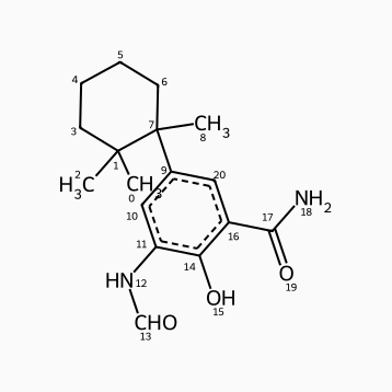 CC1(C)CCCCC1(C)c1cc(NC=O)c(O)c(C(N)=O)c1